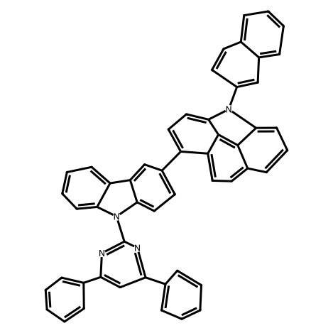 c1ccc(-c2cc(-c3ccccc3)nc(-n3c4ccccc4c4cc(-c5ccc6c7c5ccc5cccc(c57)n6-c5ccc6ccccc6c5)ccc43)n2)cc1